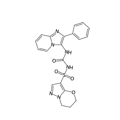 O=C(Nc1c(-c2ccccc2)nc2ccccn12)NS(=O)(=O)c1cnn2c1OCCC2